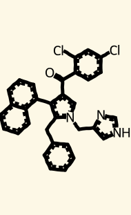 O=C(c1ccc(Cl)cc1Cl)c1cn(Cc2c[nH]cn2)c(Cc2ccccc2)c1-c1cccc2ccccc12